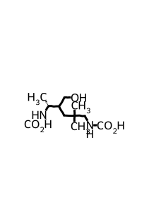 C[C@@H](NC(=O)O)C(CO)CC(C)(C)CNC(=O)O